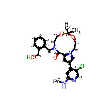 CC(C)Nc1cc(-c2cc3n(c2)CCOC(C)(C)OCCN(Cc2ccccc2CO)C3=O)c(Cl)cn1